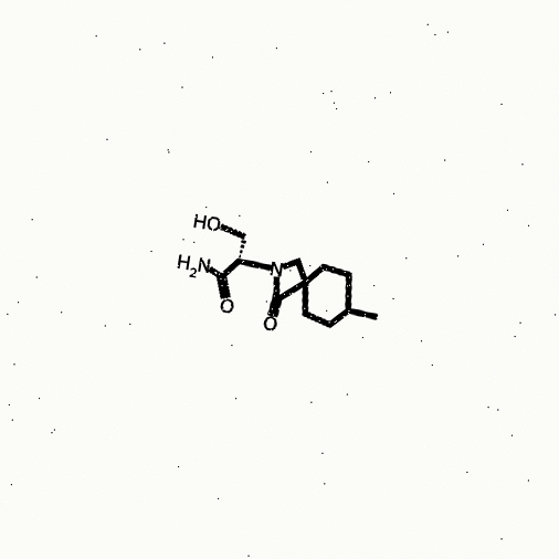 CC1CCC2(CC1)CN([C@@H](CO)C(N)=O)C2=O